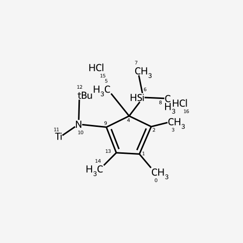 CC1=C(C)C(C)([SiH](C)C)C([N]([Ti])C(C)(C)C)=C1C.Cl.Cl